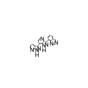 c1cc(-c2n[nH]c3c(-c4n[nH]c5ncccc45)ccnc23)c2ncncc2c1